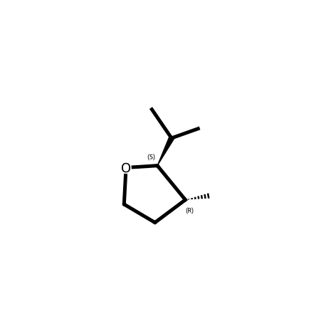 CC(C)[C@@H]1OCC[C@H]1C